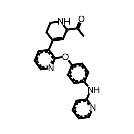 CC(=O)C1C=C(c2cccnc2Oc2ccc(Nc3ccccn3)cc2)CCN1